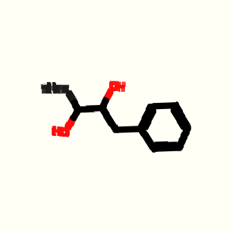 CCCCCCC(O)C(O)Cc1ccccc1